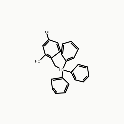 Oc1ccc(C[PH](c2ccccc2)(c2ccccc2)c2ccccc2)c(O)c1